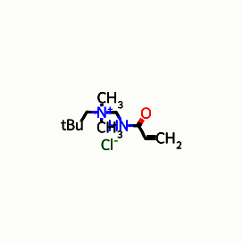 C=CC(=O)NC[N+](C)(C)CC(C)(C)C.[Cl-]